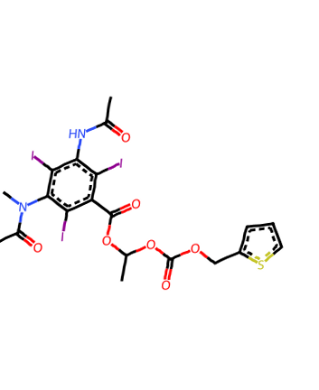 CC(=O)Nc1c(I)c(C(=O)OC(C)OC(=O)OCc2cccs2)c(I)c(N(C)C(C)=O)c1I